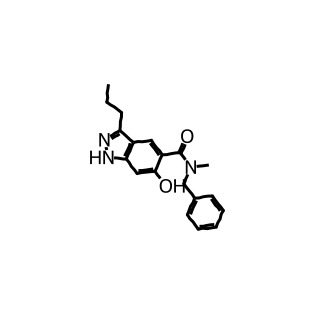 CCCc1n[nH]c2cc(O)c(C(=O)N(C)Cc3ccccc3)cc12